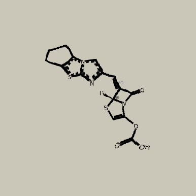 O=C(O)OC1=CS[C@@H]2/C(=C\c3cn4c5c(sc4n3)CCC5)C(=O)N12